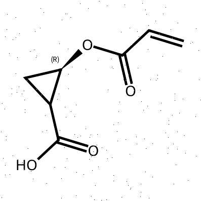 C=CC(=O)O[C@@H]1CC1C(=O)O